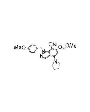 COCOc1cc(N2CCCC2)c2cnn(Cc3ccc(OC)cc3)c2c1C#N